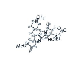 CCC1(O)CC(=O)OCc2c1cc1n(c2=O)Cc2c-1nc1cc(F)c(OC)cc1c2CN1CCN(C)CC1